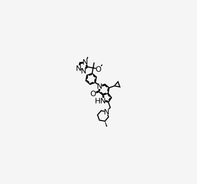 COC(C)(c1cccc(-n2cc(C3CC3)c3cc(CN4CCC[C@H](C)C4)[nH]c3c2=O)c1)c1nncn1C